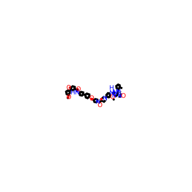 CCOc1cc(N2CCC(C(=O)N3CCC(COc4ccc(-c5ccc(NC(=O)c6ccc(OC)c(-c7cccc(OC)c7)c6)cc5)cc4)CC3)CC2)ccc1Nc1ncc(N(C)C=O)c(N(C)c2ccccc2C)n1